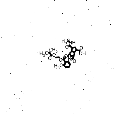 C=C(C)C(=O)OCCOC(=O)c1c(C)cccc1N1C(=O)C2CC(C1=O)C1C(C(=O)NC)CC(C(=O)O)C21